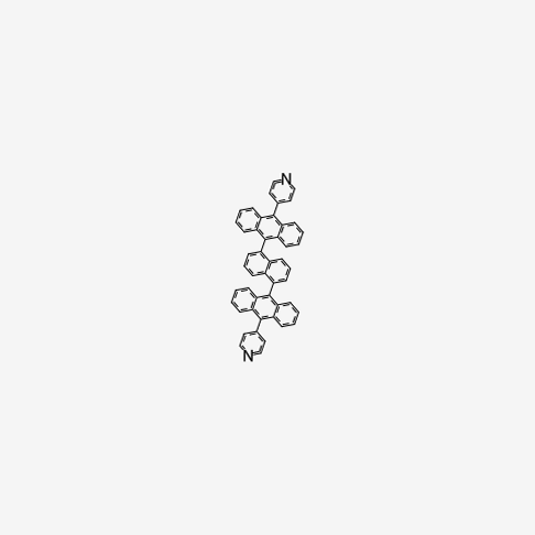 c1cc(-c2c3ccccc3c(-c3ccncc3)c3ccccc23)c2cccc(-c3c4ccccc4c(-c4ccncc4)c4ccccc34)c2c1